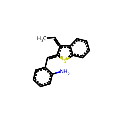 C/C=c1\c(=C\c2ccccc2N)sc2ccccc12